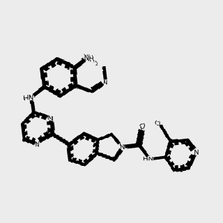 C/N=C\c1cc(Nc2ccnc(-c3ccc4c(c3)CN(C(=O)Nc3ccncc3Cl)C4)n2)ccc1N